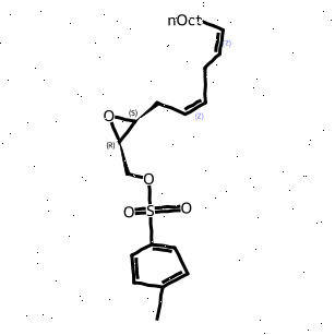 CCCCCCCC/C=C\C/C=C\C[C@@H]1O[C@@H]1COS(=O)(=O)c1ccc(C)cc1